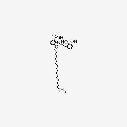 CCCCCCCCCCCCCCCCCCOc1cccc(C(=O)O)c1OCCCc1cccc(O)c1O